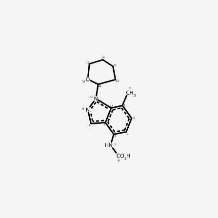 Cc1ccc(NC(=O)O)c2cnn(C3CCCCO3)c12